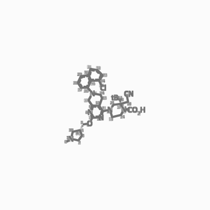 CN1CC[C@@H](COc2nc3c(c(N4CCN(C(=O)O)[C@@](CC#N)(C(C)(C)C)C4)n2)CCN(c2cccc4cccc(Cl)c24)C3)C1